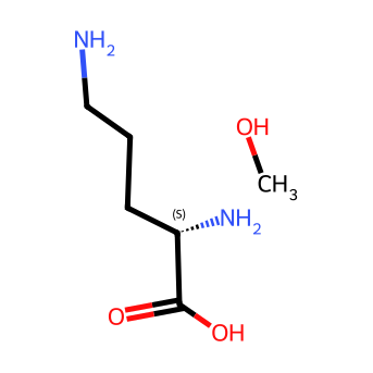 CO.NCCC[C@H](N)C(=O)O